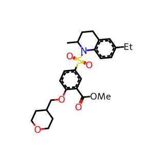 CCc1ccc2c(c1)CCC(C)N2S(=O)(=O)c1ccc(OCC2CCOCC2)c(C(=O)OC)c1